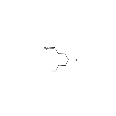 C=CCCN(CCC)CCO